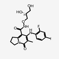 Cc1c(Nc2ccc(I)cc2F)c(C(=O)NOC[C@H](O)CO)c2n(c1=O)CCC2